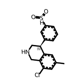 Cc1cc(Cl)c2c(c1)[C@H](c1cccc([SH](=O)=O)c1)CNC2